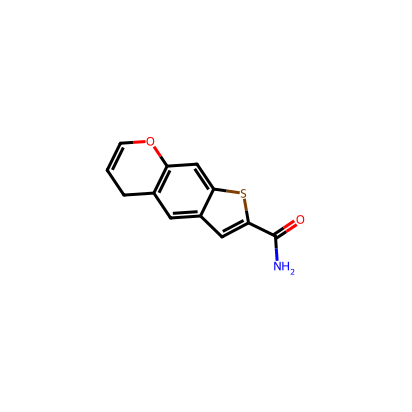 NC(=O)c1cc2cc3c(cc2s1)OC=CC3